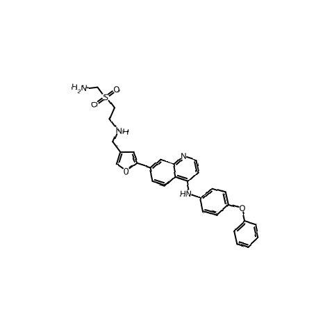 NCS(=O)(=O)CCNCc1coc(-c2ccc3c(Nc4ccc(Oc5ccccc5)cc4)ccnc3c2)c1